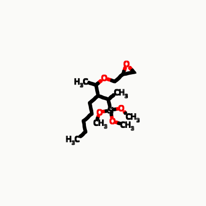 CCCCCC(C(C)OCC1CO1)C(C)[Si](OC)(OC)OC